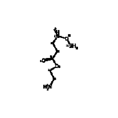 C[SiH](CCC(=O)OCCN)O[SiH3]